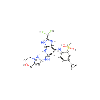 CS(=O)(=O)c1cc(C2CC2)ccc1Nc1cc(Nc2cc3n(n2)CCOC3)nc2[nH]c(C(F)F)nc12